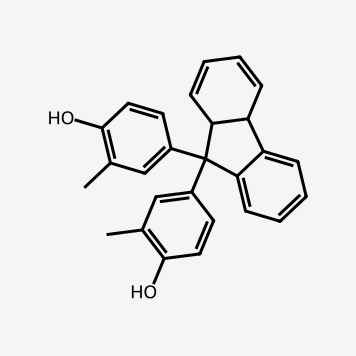 Cc1cc(C2(c3ccc(O)c(C)c3)c3ccccc3C3C=CC=CC32)ccc1O